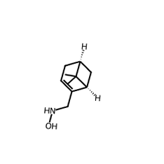 CC1(C)[C@H]2CC=C(CNO)[C@@H]1C2